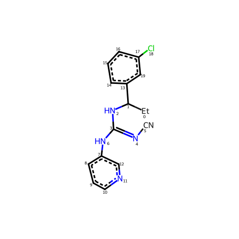 CCC(NC(=NC#N)Nc1cccnc1)c1cccc(Cl)c1